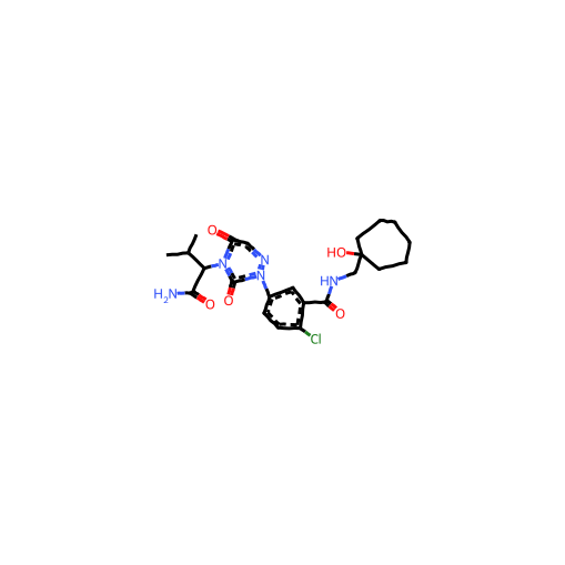 CC(C)C(C(N)=O)n1c(=O)cnn(-c2ccc(Cl)c(C(=O)NCC3(O)CCCCCC3)c2)c1=O